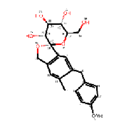 COc1ccc(Cc2cc3c(cc2C)CO[C@]32O[C@H](CO)[C@@H](O)[C@H](O)[C@H]2O)cc1